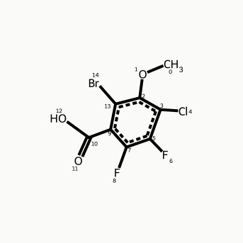 COc1c(Cl)c(F)c(F)c(C(=O)O)c1Br